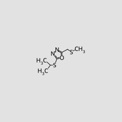 CSCc1nnc(SC(C)C)o1